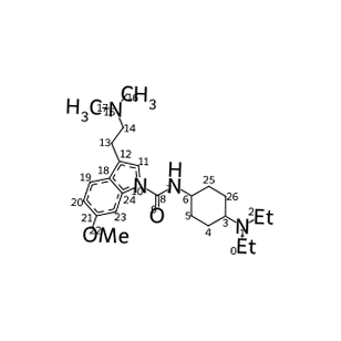 CCN(CC)C1CCC(NC(=O)n2cc(CCN(C)C)c3ccc(OC)cc32)CC1